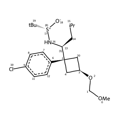 COCO[C@H]1C[C@](c2ccc(Cl)cc2)([C@H](CC(C)C)N[S@@+]([O-])C(C)(C)C)C1